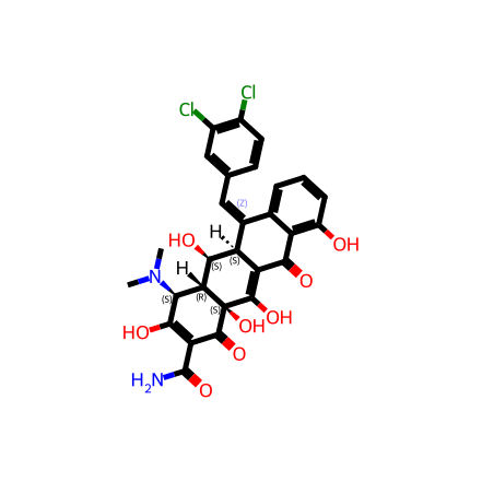 CN(C)[C@@H]1C(O)=C(C(N)=O)C(=O)[C@@]2(O)C(O)=C3C(=O)c4c(O)cccc4/C(=C\c4ccc(Cl)c(Cl)c4)[C@@H]3[C@H](O)[C@@H]12